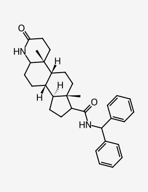 C[C@]12CCC(=O)NC1CC[C@@H]1[C@H]2CC[C@]2(C)C(C(=O)NC(c3ccccc3)c3ccccc3)CC[C@@H]12